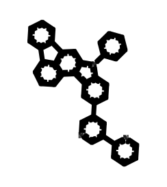 c1ccc(-n2c3ccc(-c4cncc(-c5ccccn5)c4)cc3c3c4cccc5c4c(cc32)-c2ccccc2-5)cc1